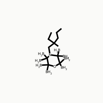 BC1(B)OC(B)(B)C(B)(B)N(CC(C)(CC)CCC)C1(B)B